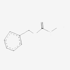 O=C(O)NC(=S)OCc1ccccc1